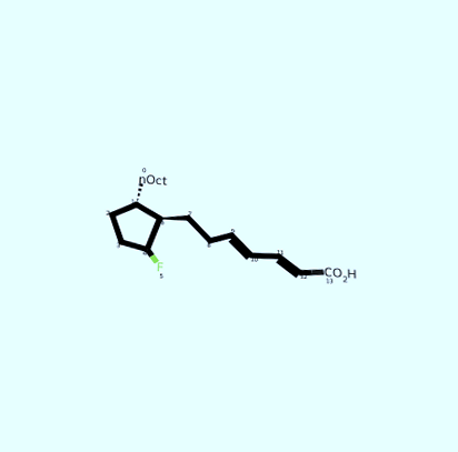 CCCCCCCC[C@H]1CCC(F)[C@@H]1CCC=CC=CC(=O)O